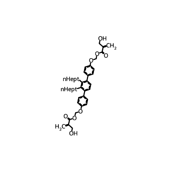 C=C(CO)C(=O)OCOc1ccc(-c2ccc(-c3ccc(OCOC(=O)C(=C)CO)cc3)c(CCCCCCC)c2CCCCCCC)cc1